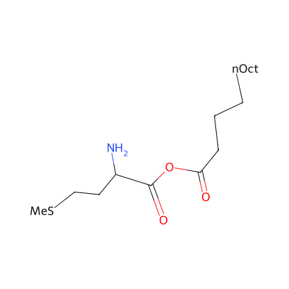 CCCCCCCCCCCC(=O)OC(=O)C(N)CCSC